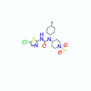 CS(=O)(=O)N1CCC(N(C(=O)Nc2ncc(Cl)s2)[C@H]2CC[C@H](C)CC2)CC1